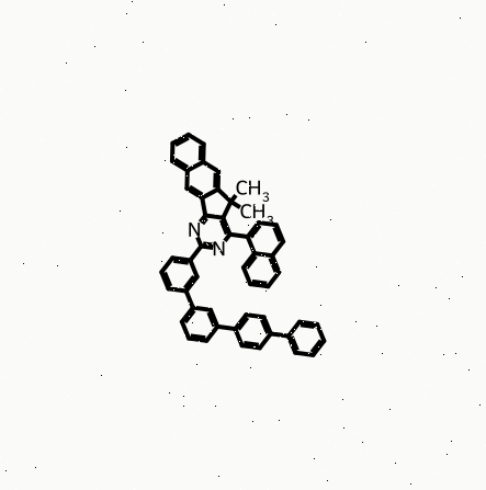 CC1(C)c2cc3ccccc3cc2-c2nc(-c3cccc(-c4cccc(-c5ccc(-c6ccccc6)cc5)c4)c3)nc(-c3cccc4ccccc34)c21